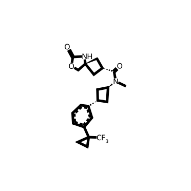 CN(C(=O)[C@H]1C[C@]2(COC(=O)N2)C1)[C@H]1C[C@@H](c2cccc(C3(C(F)(F)F)CC3)c2)C1